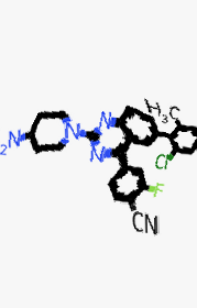 Cc1cccc(Cl)c1-c1ccc2nc(N3CCC(N)CC3)nc(-c3ccc(C#N)c(F)c3)c2c1